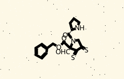 O=C[C@]1(C(=O)OCc2ccccc2)C(=S)C(=S)CN1C(=O)[C@@H]1CCCN1